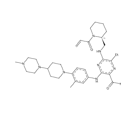 C=CC(=O)N1CCCC[C@H]1CNc1nc(Nc2ccc(N3CCC(N4CCN(C)CC4)CC3)c(C)c2)c(C(N)=O)nc1CC